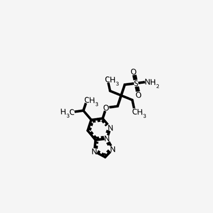 CCC(CC)(COc1nn2ncnc2cc1C(C)C)CS(N)(=O)=O